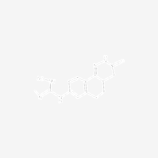 CN=C(NC#N)Nc1ccc2c(c1)CCC1CC(=O)NN=C21